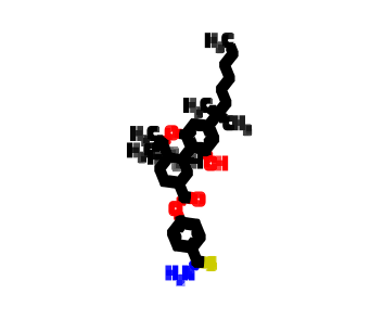 CCCCCCC(C)(C)c1cc(O)c2c(c1)OC(C)(C)[C@@H]1CC=C(C(=O)Oc3ccc(C(N)=S)cc3)C[C@@H]21